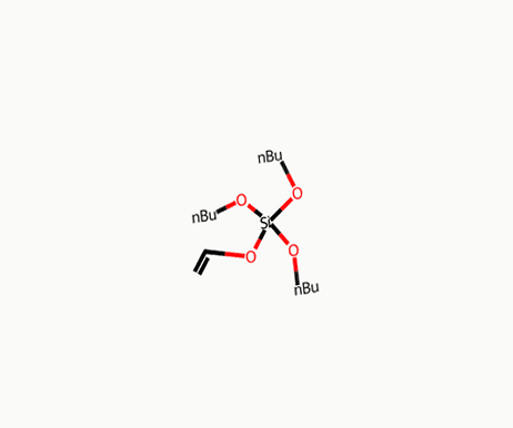 C=CO[Si](OCCCC)(OCCCC)OCCCC